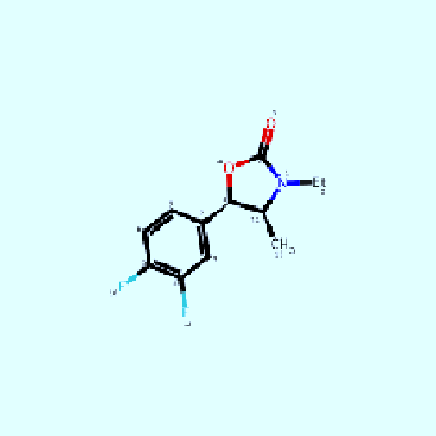 CCN1C(=O)O[C@H](c2ccc(F)c(F)c2)[C@@H]1C